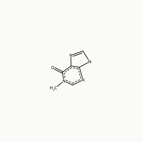 Cn1cnc2c(c1=O)N=C[N]2